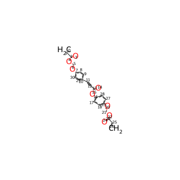 C=CC(=O)OCOc1ccc(C#CC(=O)Oc2ccc(OCOC(=O)C=C)cc2)cc1